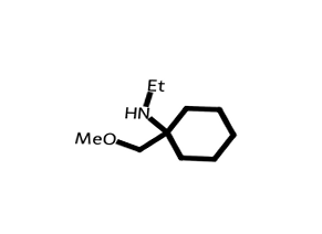 CCNC1(COC)CCCCC1